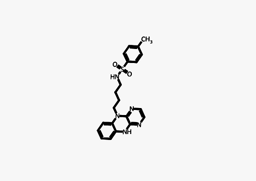 Cc1ccc(S(=O)(=O)NCCCCN2c3ccccc3Nc3nccnc32)cc1